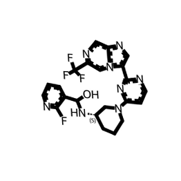 OC(N[C@H]1CCCN(c2ccnc(-c3cnc4cnc(C(F)(F)F)cn34)n2)C1)c1cccnc1F